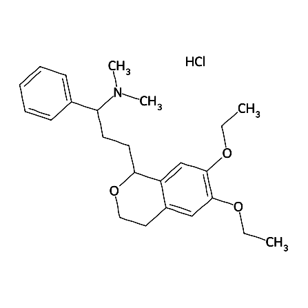 CCOc1cc2c(cc1OCC)C(CCC(c1ccccc1)N(C)C)OCC2.Cl